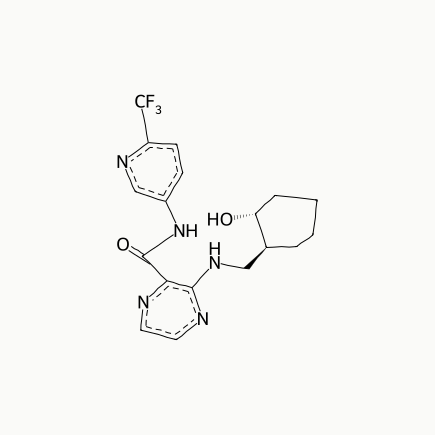 O=C(Nc1ccc(C(F)(F)F)nc1)c1nccnc1NC[C@@H]1CCCC[C@H]1O